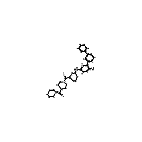 O=C(C1CCN(C(=O)C2CCCC(Nc3ncc(Cl)c(-c4cccc(-c5ccccc5)c4)n3)C2)CC1)N1CCCCC1